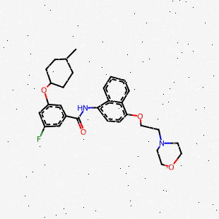 CC1CCC(Oc2cc(F)cc(C(=O)Nc3ccc(OCCN4CCOCC4)c4ccccc34)c2)CC1